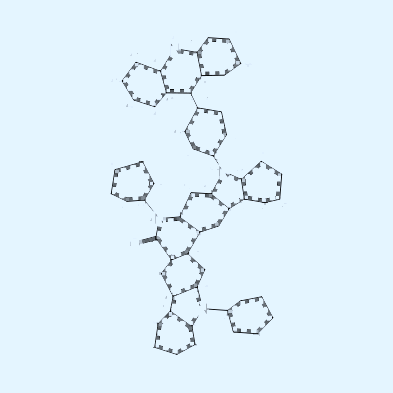 O=c1c2cc3c4ccccc4n(-c4ccccc4)c3cc2c2cc3c4ccccc4n(-c4ccc(-c5c6ccccc6nc6ccccc56)cc4)c3cc2n1-c1ccccc1